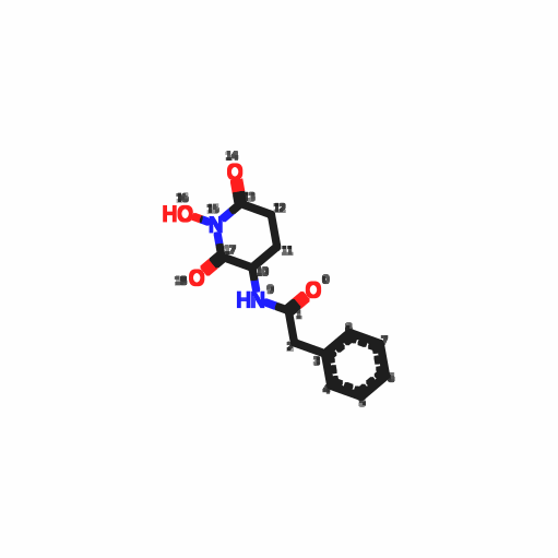 O=C(Cc1ccccc1)NC1CCC(=O)N(O)C1=O